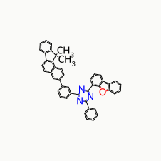 CC1(C)c2ccccc2-c2ccc3cc(-c4cccc(-c5nc(-c6ccccc6)nc(-c6cccc7c6oc6ccccc67)n5)c4)ccc3c21